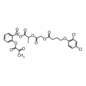 CC(=O)C(=O)Oc1ccccc1[N+](=O)OC(=O)C(I)OC(=O)COC(=O)CCCOc1ccc(Cl)cc1Cl